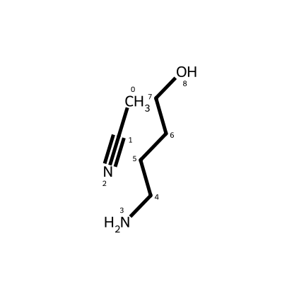 CC#N.NCCCCO